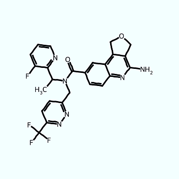 CC(c1ncccc1F)N(Cc1ccc(C(F)(F)F)nn1)C(=O)c1ccc2nc(N)c3c(c2c1)COC3